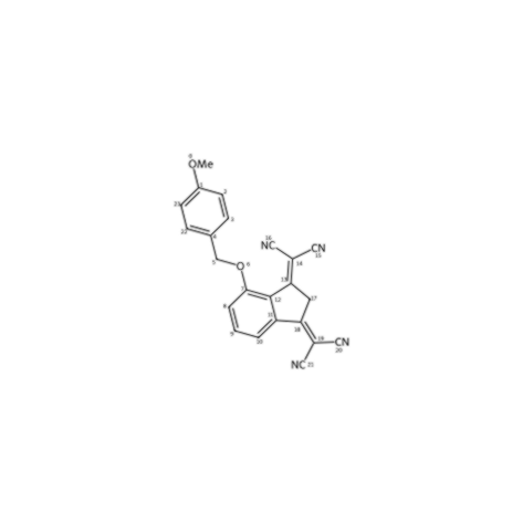 COc1ccc(COc2cccc3c2C(=C(C#N)C#N)CC3=C(C#N)C#N)cc1